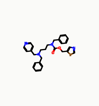 O=C(OCc1cncs1)N(CCCN(Cc1ccccc1)Cc1ccncc1)Cc1ccccc1